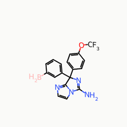 Bc1cccc(C2(c3ccc(OC(F)(F)F)cc3)N=C(N)n3ccnc32)c1